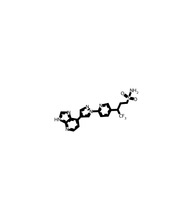 NS(=O)(=O)CCC(c1ccc(-n2cc(-c3ccnc4[nH]cnc34)cn2)nc1)C(F)(F)F